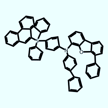 c1ccc(-c2ccc(N(c3ccc(S(c4ccccc4)(c4ccccc4)c4cc5ccccc5c5ccccc45)cc3)c3cccc4c3oc3c(-c5ccccc5)cccc34)cc2)cc1